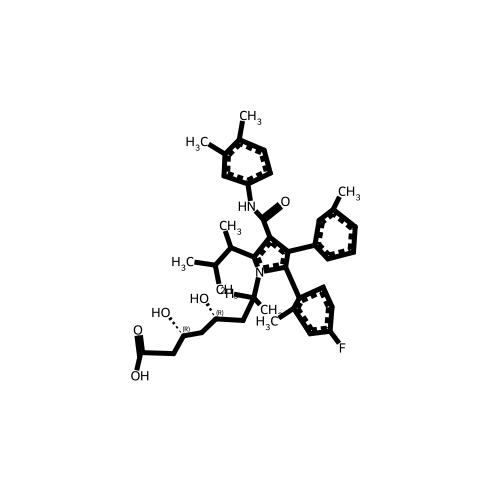 [2H]C(C)(C[C@@H](O)C[C@@H](O)CC(=O)O)n1c(-c2ccc(F)cc2C)c(-c2cccc(C)c2)c(C(=O)Nc2ccc(C)c(C)c2)c1C(C)C(C)C